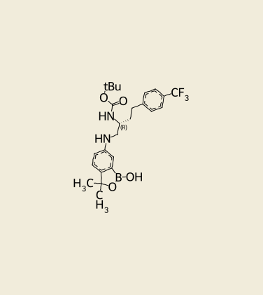 CC(C)(C)OC(=O)N[C@H](CCc1ccc(C(F)(F)F)cc1)CNc1ccc2c(c1)B(O)OC2(C)C